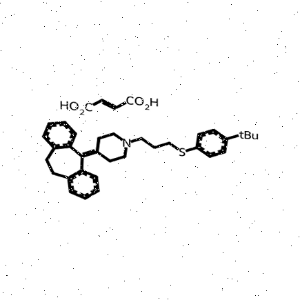 CC(C)(C)c1ccc(SCCCN2CCC(=C3c4ccccc4CCc4ccccc43)CC2)cc1.O=C(O)/C=C/C(=O)O